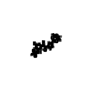 CC1(C)OB(c2csc(C(=O)Nc3cc(F)cc(NS(C)(=O)=O)c3)c2)OC1(C)C